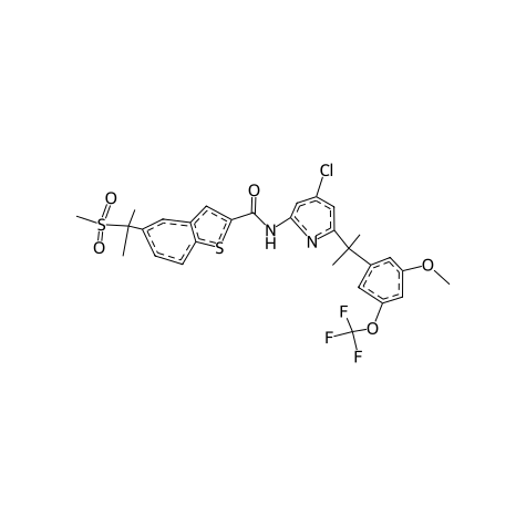 COc1cc(OC(F)(F)F)cc(C(C)(C)c2cc(Cl)cc(NC(=O)c3cc4cc(C(C)(C)S(C)(=O)=O)ccc4s3)n2)c1